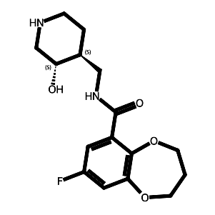 O=C(NC[C@@H]1CCNC[C@H]1O)c1cc(F)cc2c1OCCCO2